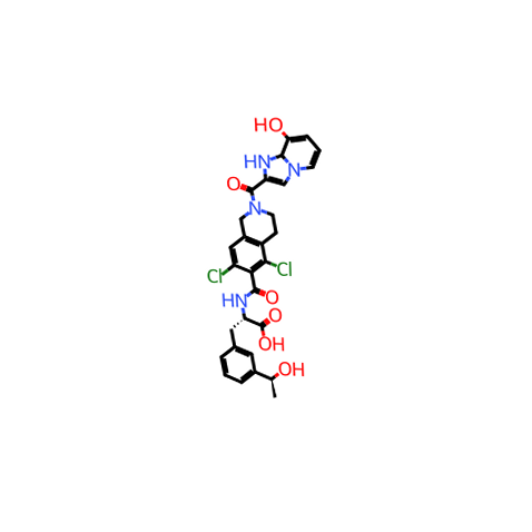 C[C@H](O)c1cccc(C[C@H](NC(=O)c2c(Cl)cc3c(c2Cl)CCN(C(=O)C2=CN4C=CC=C(O)C4N2)C3)C(=O)O)c1